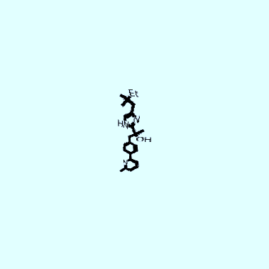 CCC(C)(C)Cc1c[nH]c(C(C)(O)Cc2ccc(-c3cccc(C)n3)cc2)n1